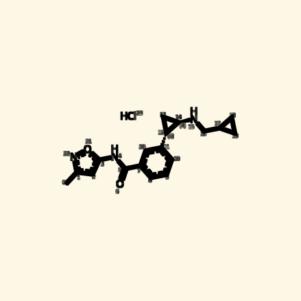 Cc1cc(NC(=O)c2cccc([C@@H]3C[C@H]3NCC3CC3)c2)on1.Cl